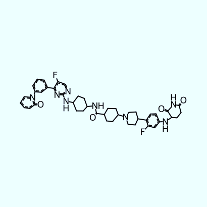 O=C1CCC(Nc2ccc(C3CCN(C4CCC(C(=O)NC5CCC(Nc6ncc(F)c(-c7cccc(-n8ccccc8=O)c7)n6)CC5)CC4)CC3)c(F)c2)C(=O)N1